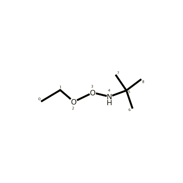 CCOONC(C)(C)C